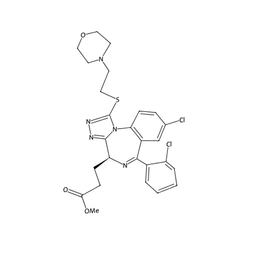 COC(=O)CC[C@@H]1N=C(c2ccccc2Cl)c2cc(Cl)ccc2-n2c(SCCN3CCOCC3)nnc21